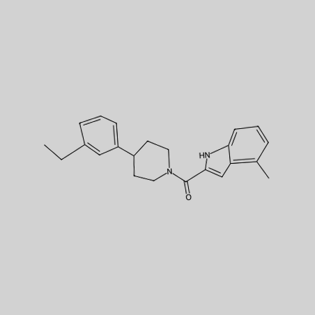 CCc1cccc(C2CCN(C(=O)c3cc4c(C)cccc4[nH]3)CC2)c1